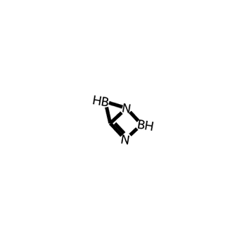 B1N=C2BN12